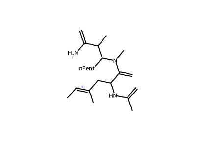 C=C(C)NC(C/C(C)=C/C)C(=C)N(C)C(CCCCC)C(C)C(=C)N